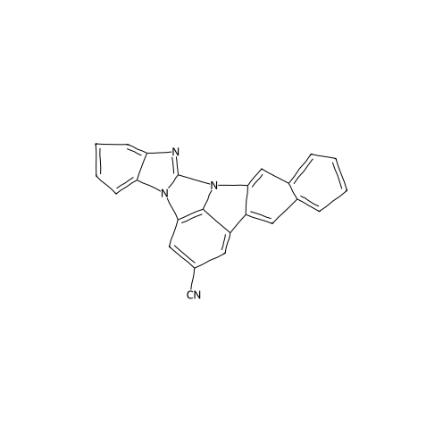 N#Cc1cc2c3cc4ccccc4cc3n3c2c(c1)n1c2ccccc2nc13